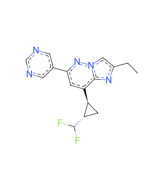 CCc1cn2nc(-c3cncnc3)cc([C@H]3C[C@@H]3C(F)F)c2n1